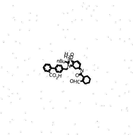 CCCCc1nc2c(n1Cc1ccc(-c3ccccc3C(=O)O)cc1)CC(=NC(=O)C1=C(C=O)CCCC1)C=C2.O.O